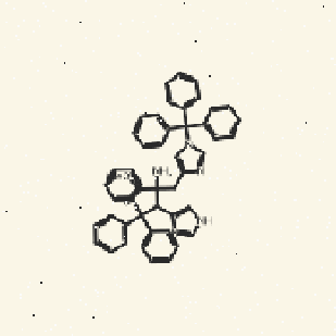 COC(=O)C(N)(Cc1cn(C(c2ccccc2)(c2ccccc2)c2ccccc2)cn1)C(c1c[nH]cn1)C(c1ccccc1)(c1ccccc1)c1ccccc1